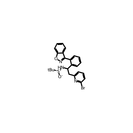 CC(C)(C)[S@+]([O-])NC(Cc1cccc(Br)n1)c1ccccc1-c1noc2ccccc12